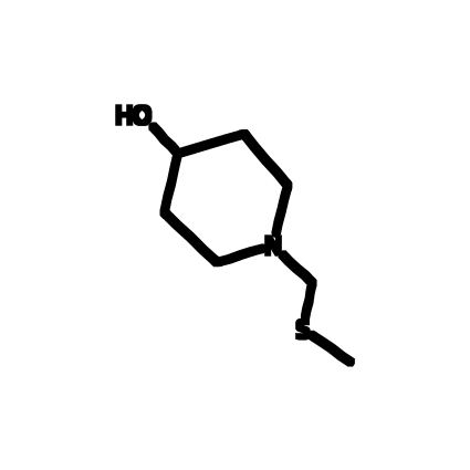 CSCN1CCC(O)CC1